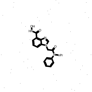 CCCN(C(=O)Cn1cnc2c(C(=O)NO)cccc21)c1ccccc1